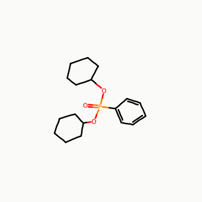 O=P(OC1CCCCC1)(OC1CCCCC1)c1ccccc1